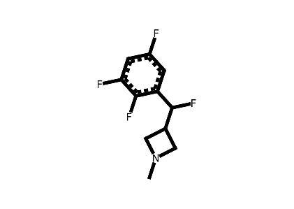 CN1CC(C(F)c2cc(F)cc(F)c2F)C1